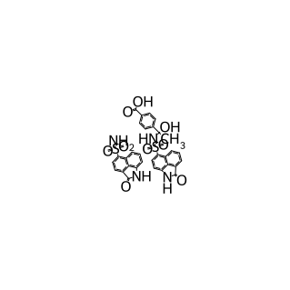 CC(O)(NS(=O)(=O)c1ccc2c3c(cccc13)C(=O)N2)c1ccc(C(=O)O)cc1.NS(=O)(=O)c1ccc2c3c(cccc13)NC2=O